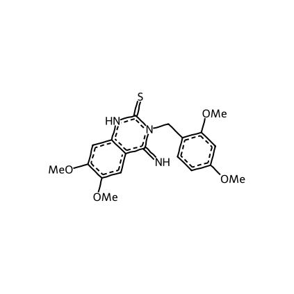 COc1ccc(Cn2c(=S)[nH]c3cc(OC)c(OC)cc3c2=N)c(OC)c1